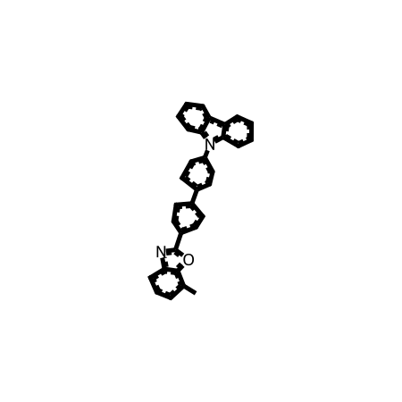 Cc1cccc2nc(-c3ccc(-c4ccc(-n5c6ccccc6c6ccccc65)cc4)cc3)oc12